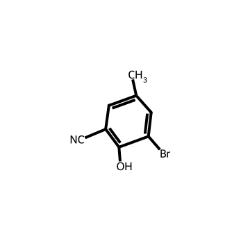 Cc1cc(Br)c(O)c(C#N)c1